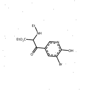 CCNC(C(=O)OCC)C(=O)c1cnc(O)c(Br)c1